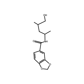 CC(CO)CC(C)NC(=O)c1ccc2c(c1)OCO2